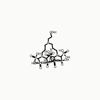 CCCCCCCCCCCCN(CCCN(C(P(=O)(O)O)P(=O)(O)O)C(P(=O)(O)O)P(=O)(O)O)CCCN(C(P(=O)(O)O)P(=O)(O)O)C(P(=O)(O)O)P(=O)(O)O